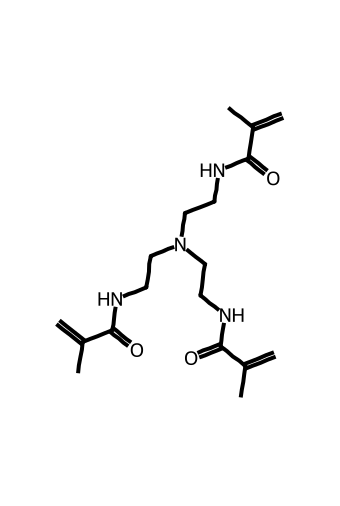 C=C(C)C(=O)NCCN(CCNC(=O)C(=C)C)CCNC(=O)C(=C)C